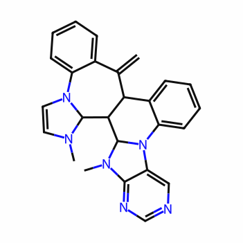 C=C1c2ccccc2N2C=CN(C)C2C2C1c1ccccc1N1c3cncnc3N(C)C21